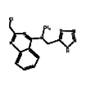 CN(Cc1nnn[nH]1)c1nc(CCl)nc2ccccc12